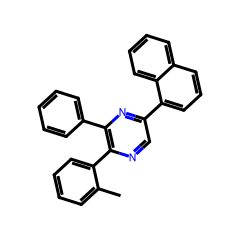 Cc1ccccc1-c1ncc(-c2cccc3ccccc23)nc1-c1ccccc1